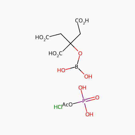 CC(=O)OP(=O)(O)O.Cl.O=C(O)CC(CC(=O)O)(OB(O)O)C(=O)O